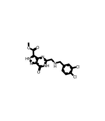 COC(=O)c1[nH]nc2c(=O)[nH]c(CNCc3ccc(Cl)c(Cl)c3)nc12